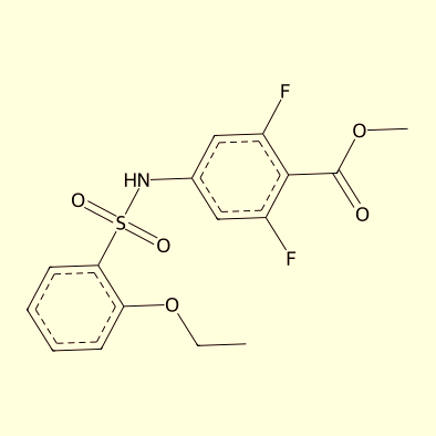 CCOc1ccccc1S(=O)(=O)Nc1cc(F)c(C(=O)OC)c(F)c1